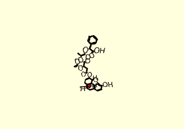 CC(=O)OC(CC(=O)OC1=CC[C@@]2(O)[C@H]3Cc4ccc(O)c5c4[C@@]2(CCN3C)[C@H]1O5)C(=O)OC(C)C(=O)O[C@H](C(=O)O)c1ccccc1